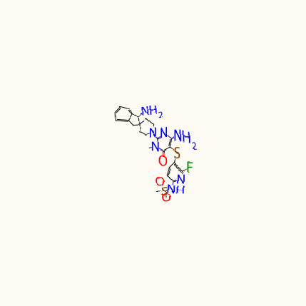 Cn1c(N2CCC3(CC2)Cc2ccccc2[C@H]3N)nc(N)c(Sc2ccc(NS(C)(=O)=O)nc2F)c1=O